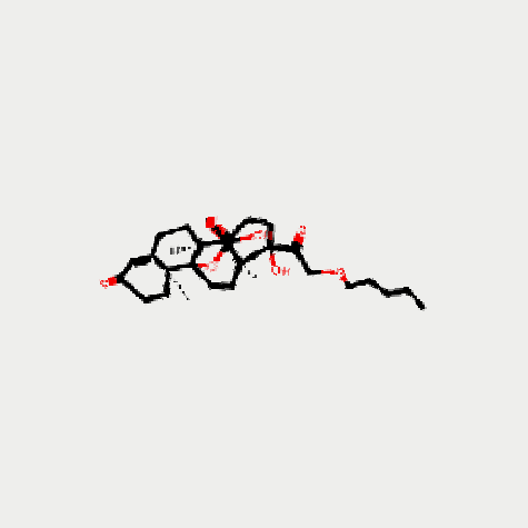 CCCCCOCC(=O)[C@@]1(O)CC[C@H]2[C@@H]3CCC4=CC(=O)CC[C@]4(C)[C@@]3(OC(=O)O)CC[C@@]21C